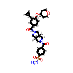 NS(=O)(=O)c1ccc(C(=O)N2C[C@H]3CN(C(=O)c4ccc(OC5CCOCC5)c(C5CC5)c4)C[C@@H]3C2)cc1